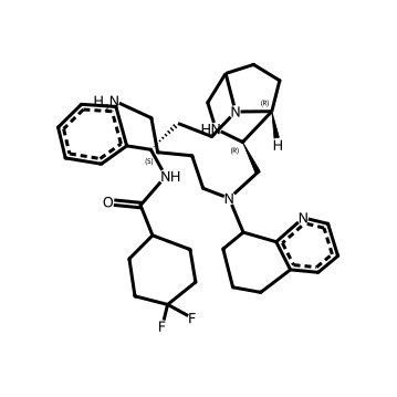 NCCCCN(C[C@H]1NCC2CC[C@H]1N2CC[C@H](NC(=O)C1CCC(F)(F)CC1)c1ccccc1)C1CCCc2cccnc21